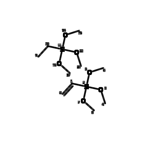 C=C[Si](OC)(OC)OC.CC[Si](OC)(OC)OC